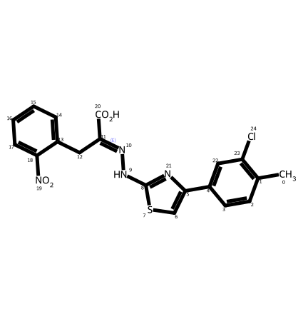 Cc1ccc(-c2csc(N/N=C(\Cc3ccccc3[N+](=O)[O-])C(=O)O)n2)cc1Cl